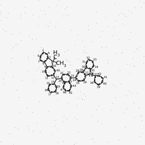 CC1(C)c2ccccc2-c2ccc(C(c3ccccc3)c3ccc(-c4ccc5c(c4)c4ccccc4n5-c4ccccc4)c4ccccc34)cc21